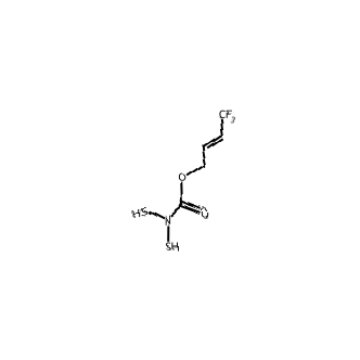 O=C(OCC=CC(F)(F)F)N(S)S